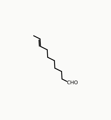 CC=CCCCCCCC=O